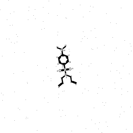 C=CCN(CC=C)S(=O)(=O)c1ccc(N(C)C)cc1